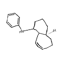 C1=CC2C(Nc3ccccc3)CCC[C@H]2CC1